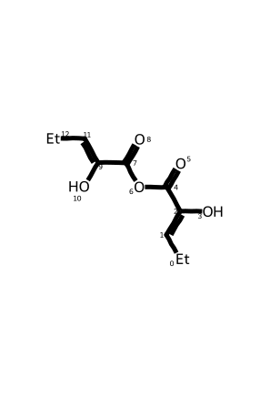 CC/C=C(\O)C(=O)OC(=O)/C(O)=C/CC